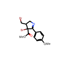 COC(=O)C1(Br)C(c2ccc(OC)cc2)=NCC1CBr